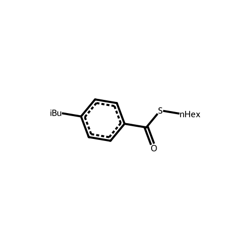 CCCCCCSC(=O)c1ccc(C(C)CC)cc1